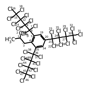 CC(C)[CH]c1c(C(Cl)(Cl)C(Cl)(Cl)C(Cl)(Cl)C(Cl)(Cl)Cl)cc(C(Cl)(Cl)C(Cl)(Cl)C(Cl)(Cl)C(Cl)(Cl)Cl)cc1C(Cl)(Cl)C(Cl)(Cl)C(Cl)(Cl)C(Cl)(Cl)Cl